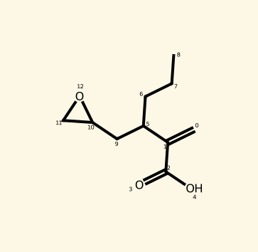 C=C(C(=O)O)C(CCC)CC1CO1